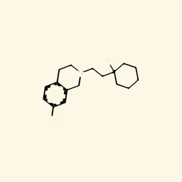 N#Cc1ccc2c(c1)CN(CCC1(N)CCCCC1)CC2